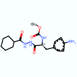 CC(C)(C)OC(=O)N[C@@H](Cc1ccc(N)cc1)C(=O)NNC(=O)C1CCCCC1